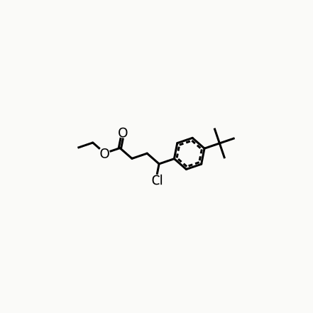 CCOC(=O)CCC(Cl)c1ccc(C(C)(C)C)cc1